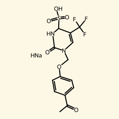 CC(=O)c1ccc(OCN2C=C(C(F)(F)F)C(S(=O)(=O)O)NC2=O)cc1.[NaH]